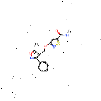 Cc1onc(-c2ccccc2)c1COc1cc(C(=O)NC(C)C)sn1